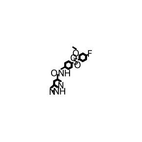 CCOc1cc(F)ccc1S(=O)(=O)c1ccc(CNC(=O)c2cnc3[nH]ncc3c2)cc1